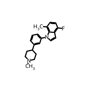 Cc1ccc(F)c2ccn(-c3cccc(C4CCN(C)CC4)c3)c12